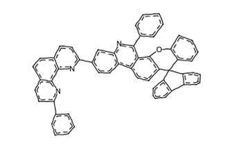 c1ccc(-c2ccc3ccc4ccc(-c5ccc6c(c5)nc(-c5ccccc5)c5c7c(ccc56)C5(c6ccccc6O7)c6ccccc6-c6ccccc65)nc4c3n2)cc1